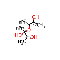 CCCC(OC(O)(CCC)C(C)O)C(C)O